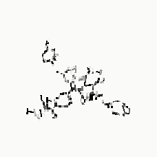 CN(C)C(=O)c1ccc(-n2c(=O)c(C(=O)NCCN3CCOCC3)c(O)c3ncc(Cc4ccc(F)cc4)cc32)cc1